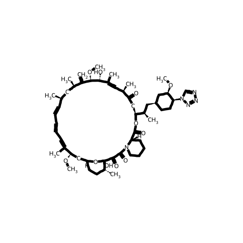 C=C1[C@H](C)C[C@H](C)/C=C/C=C/C=C(\C)[C@@H](OC)C[C@@H]2CC[C@@H](C)[C@@](O)(O2)C(=O)C(=O)N2CCCC[C@H]2C(=O)O[C@H]([C@H](C)C[C@@H]2CC[C@H](n3cnnn3)[C@H](OC)C2)CC(=O)[C@H](C)/C=C(\C)[C@@H](O)[C@H]1OC